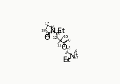 C=C(OCC[N+](C)(C)CC)C(C)(C)CC(CC)N1CCCC1=O